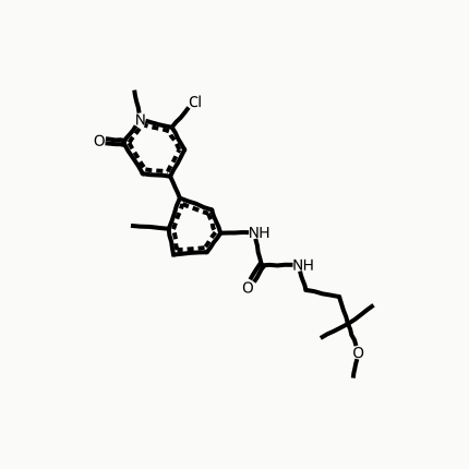 COC(C)(C)CCNC(=O)Nc1ccc(C)c(-c2cc(Cl)n(C)c(=O)c2)c1